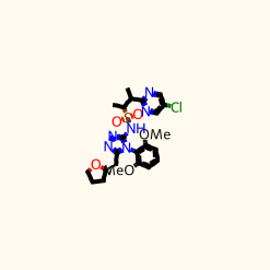 COc1cccc(OC)c1-n1c(C[C@H]2CCCO2)nnc1NS(=O)(=O)C(C)C(C)c1ncc(Cl)cn1